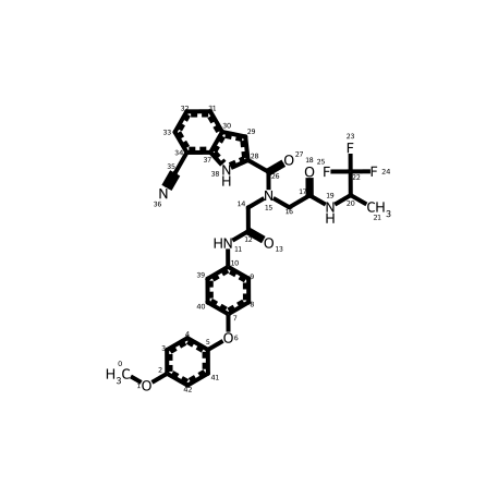 COc1ccc(Oc2ccc(NC(=O)CN(CC(=O)NC(C)C(F)(F)F)C(=O)c3cc4cccc(C#N)c4[nH]3)cc2)cc1